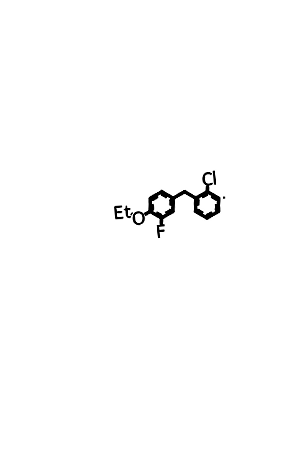 CCOc1ccc(Cc2ccc[c]c2Cl)cc1F